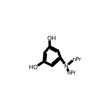 CCCN(CCC)c1cc(O)cc(O)c1